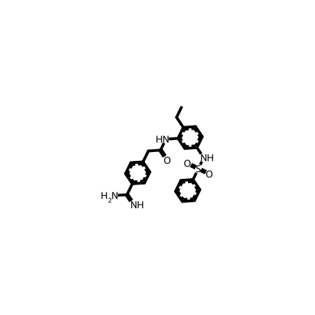 CCc1ccc(NS(=O)(=O)c2ccccc2)cc1NC(=O)Cc1ccc(C(=N)N)cc1